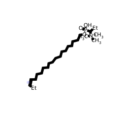 CC/C=C\CCCCCCCCCCCCCCCCOP(=O)(O)C(CC)[N+](C)(C)C